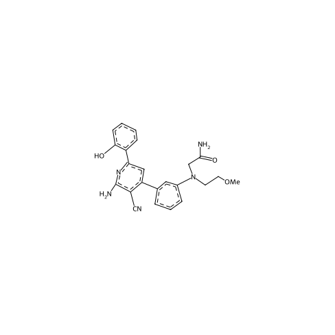 COCCN(CC(N)=O)c1cccc(-c2cc(-c3ccccc3O)nc(N)c2C#N)c1